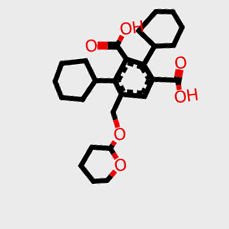 O=C(O)c1cc(COC2CCCCO2)c(C2CCCCC2)c(C(=O)O)c1C1CCCCC1